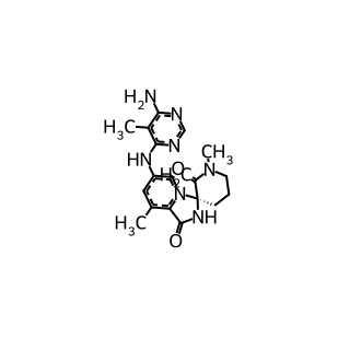 C=C1N(C)CCC[C@@]12NC(=O)c1c(C)cc(Nc3ncnc(N)c3C)c(=O)n12